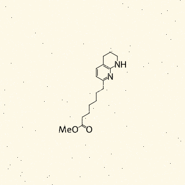 COC(=O)CCCCCCc1ccc2c(n1)NCCC2